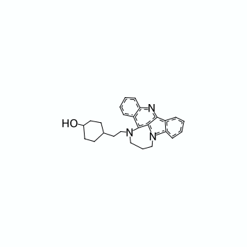 OC1CCC(CCN2CCCn3c4ccccc4c4nc5ccccc5c2c43)CC1